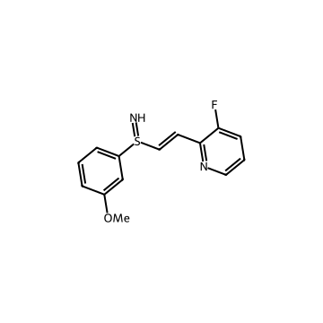 COc1cccc(S(=N)/C=C/c2ncccc2F)c1